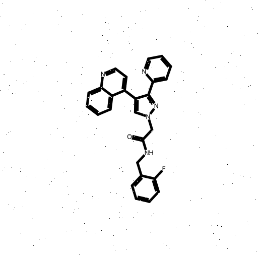 O=C(Cn1cc(-c2ccnc3ccccc23)c(-c2ccccn2)n1)NCc1ccccc1F